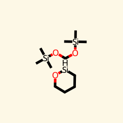 C[Si](C)(C)OC(O[Si](C)(C)C)[SiH]1CCCCO1